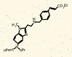 CCCCCN(CCC)c1ccc2c(c1)nc(CCNCc1ccc(/C=C/C(=O)OCC)cc1)n2C